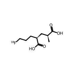 C[C@@H](C[C@H](CCC[18F])C(=O)O)C(=O)O